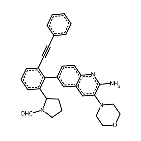 Nc1nc2ccc(-c3c(C#Cc4ccccc4)cccc3C3CCCN3C=O)cc2cc1N1CCOCC1